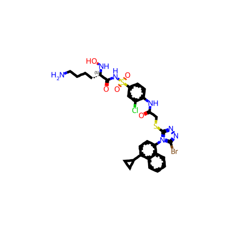 NCCCC[C@H](NO)C(=O)NS(=O)(=O)c1ccc(NC(=O)CSc2nnc(Br)n2-c2ccc(C3CC3)c3ccccc23)c(Cl)c1